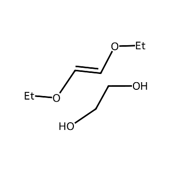 CCO/C=C/OCC.OCCO